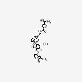 Cc1nc2c(OCc3c(Cl)ccc(S(=O)(=O)N4CCC[C@H]4C(=O)NCCCNC(=O)c4ccc(C(=N)N)cc4)c3Cl)cccn2c1Br.Cl